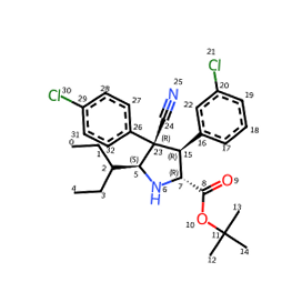 CCC(CC)[C@@H]1N[C@@H](C(=O)OC(C)(C)C)[C@H](c2cccc(Cl)c2)[C@@]1(C#N)c1ccc(Cl)cc1